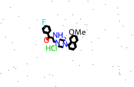 COc1ccc2cccc(N3CCN(CC(N)C(=O)c4ccc(F)cc4)CC3)c2c1.Cl